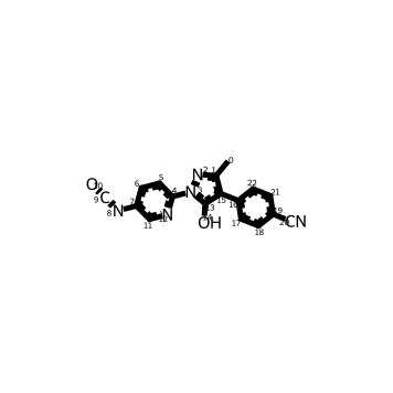 Cc1nn(-c2ccc(N=C=O)cn2)c(O)c1-c1ccc(C#N)cc1